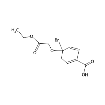 CCOC(=O)COC1(Br)C=CC(C(=O)O)=CC1